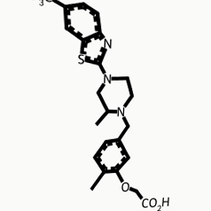 Cc1ccc(CN2CCN(c3nc4ccc(C(F)(F)F)cc4s3)CC2C)cc1OCC(=O)O